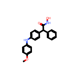 COc1ccc(Nc2ccc(C(C(=O)NO)c3ccccc3)cc2)cc1